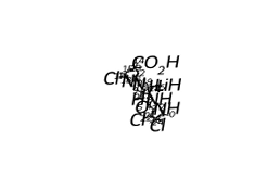 Cc1[nH]c(C(=O)N[C@H]2[C@@H]3CN(c4cc(C(=O)O)cc(Cl)n4)C[C@@H]32)c(Cl)c1Cl.[LiH]